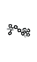 C1=CCC2Oc3ccc(-c4ccc(-c5cccc(C6=C7C=CC=CC7NC(c7ccccc7)=N6)c5)cc4)cc3C(c3ccccn3)(c3ccccn3)C2=C1